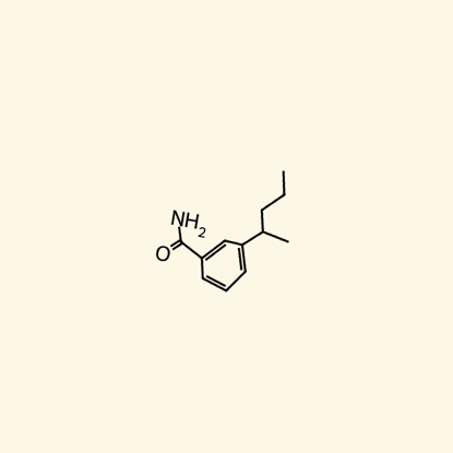 CCCC(C)c1cccc(C(N)=O)c1